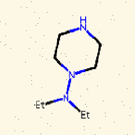 C[CH]N(CC)N1CCNCC1